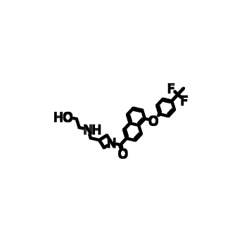 CC(F)(F)c1ccc(Oc2cccc3cc(C(=O)N4CC(CNCCO)C4)ccc23)cc1